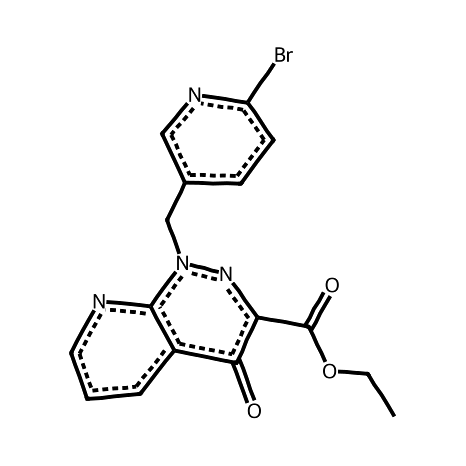 CCOC(=O)c1nn(Cc2ccc(Br)nc2)c2ncccc2c1=O